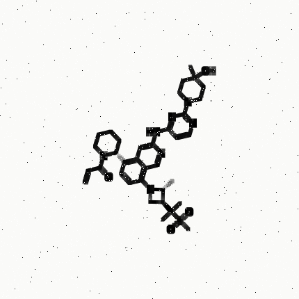 C=CC(=O)N1CCCC[C@@H]1c1ccc(N2C[C@H](C(C)(C)S(C)(=O)=O)[C@H]2C)c2cnc(Nc3ccnc(N4CCC(C)(O)CC4)n3)cc12